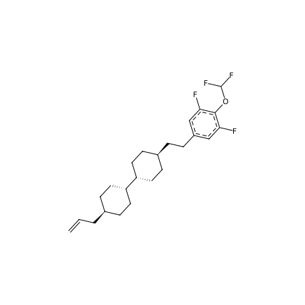 C=CC[C@H]1CC[C@H]([C@H]2CC[C@H](CCc3cc(F)c(OC(F)F)c(F)c3)CC2)CC1